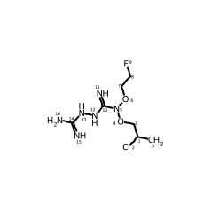 CC(Cl)CON(OCCF)C(=N)NNC(=N)N